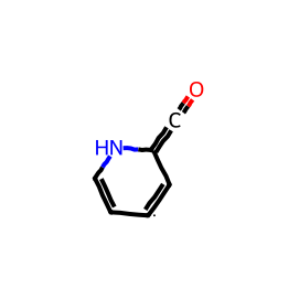 O=C=C1C=[C]C=CN1